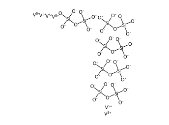 [O-][Si]([O-])([O-])O[Si]([O-])([O-])[O-].[O-][Si]([O-])([O-])O[Si]([O-])([O-])[O-].[O-][Si]([O-])([O-])O[Si]([O-])([O-])[O-].[O-][Si]([O-])([O-])O[Si]([O-])([O-])[O-].[O-][Si]([O-])([O-])O[Si]([O-])([O-])[O-].[V+5].[V+5].[V+5].[V+5].[V+5].[V+5]